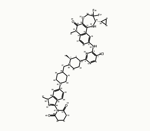 C[C@H]1CN(c2ncc(Cl)c(Nc3ccc4c(c3)c3c(c(=O)n4C)OCC(F)(F)[C@H](C4CC4)N3)n2)CCN1CC1CCN(c2ccc3c(N4C(=O)CCCC4=O)nn(C)c3c2)CC1